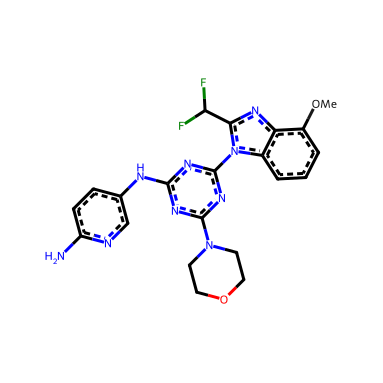 COc1cccc2c1nc(C(F)F)n2-c1nc(Nc2ccc(N)nc2)nc(N2CCOCC2)n1